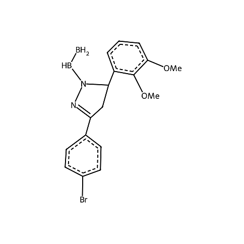 BBN1N=C(c2ccc(Br)cc2)CC1c1cccc(OC)c1OC